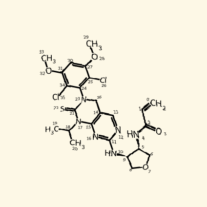 C=CC(=O)N[C@H]1COC[C@H]1Nc1ncc2c(n1)N(C(C)C)C(=S)N(c1c(Cl)c(OC)cc(OC)c1Cl)C2